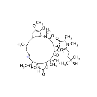 COc1cc2cc(c1Cl)N(C)C(=O)CC(OC(=O)C(C)N(C)C(=O)CCC(C)(C)S)C1(C)OC1C(C)(C)C1CC(O)(NC(=O)O1)C(OC)/C=C/CC(C)C2